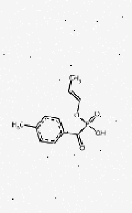 CC=COP(=O)(O)C(=O)c1ccc(C)cc1